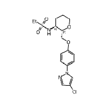 CCS(=O)(=O)N[C@H]1CCCO[C@@H]1COc1ccc(-n2cc(Cl)cn2)cc1